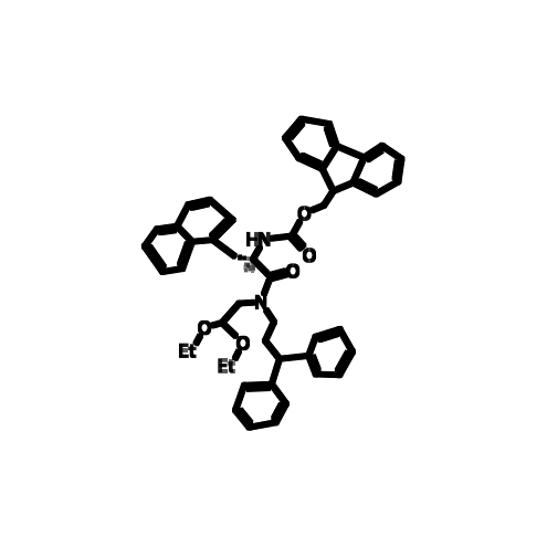 CCOC(CN(CCC(c1ccccc1)c1ccccc1)C(=O)[C@H](Cc1cccc2ccccc12)NC(=O)OCC1c2ccccc2-c2ccccc21)OCC